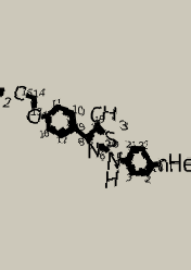 CCCCCCCc1ccc(Nc2nc(-c3ccc(OCC(=O)O)cc3)c(C)s2)cc1